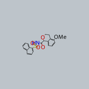 COc1cccc2c1CCOC2C(=O)NS(=O)(=O)c1cccc2ccccc12